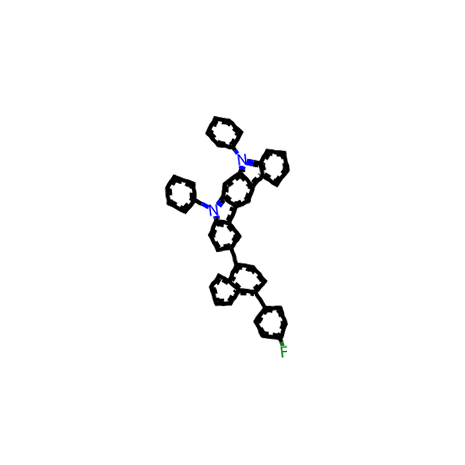 Fc1ccc(-c2ccc(-c3ccc4c(c3)c3cc5c6ccccc6n(-c6ccccc6)c5cc3n4-c3ccccc3)c3ccccc23)cc1